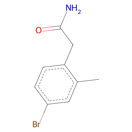 Cc1cc(Br)ccc1CC(N)=O